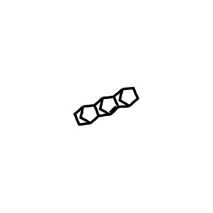 C1CC2CC1C1=C3CC(C12)C1C2CCC(C2)C31